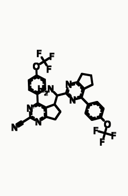 N#Cc1nc2c(c(-c3ccc(OC(F)(F)F)cc3)n1)C(C(N)c1nc3c(c(-c4ccc(OC(F)(F)F)cc4)n1)CCC3)CC2